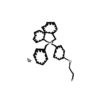 FCCOc1ccc([P+](Cc2ccccc2)(c2ccccc2)c2ccccc2)cc1.[Br-]